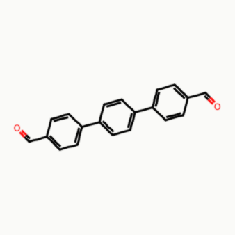 O=Cc1ccc(-c2ccc(-c3ccc(C=O)cc3)cc2)cc1